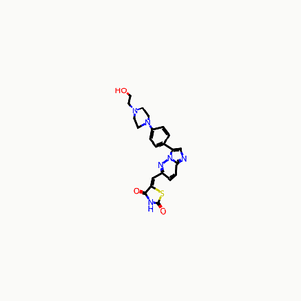 O=C1NC(=O)/C(=C/c2ccc3ncc(-c4ccc(N5CCN(CCO)CC5)cc4)n3n2)S1